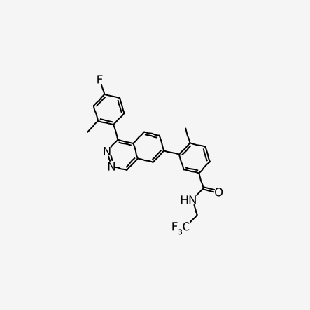 Cc1ccc(C(=O)NCC(F)(F)F)cc1-c1ccc2c(-c3ccc(F)cc3C)nncc2c1